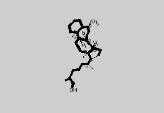 CC(CO)CCC[C@@H](C)[C@H]1CC[C@H]2[C@@H]3C[C@H](N)C4CCCC[C@]4(C)[C@H]3CC[C@]12C